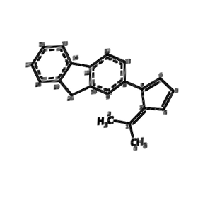 CC(C)=C1C=CC=C1c1[c]c2c(cc1)-c1ccccc1C2